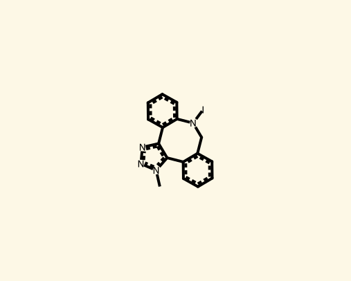 Cn1nnc2c1-c1ccccc1CN(I)c1ccccc1-2